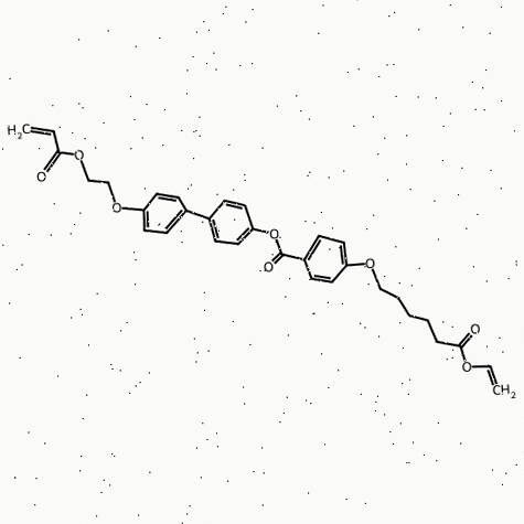 C=COC(=O)CCCCCOc1ccc(C(=O)Oc2ccc(-c3ccc(OCCOC(=O)C=C)cc3)cc2)cc1